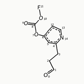 O=CCCc1cc(OC(=O)OF)ccn1